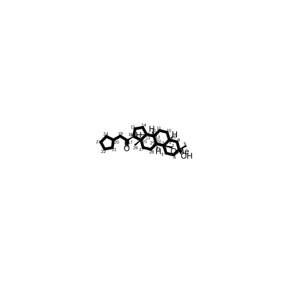 COC[C@]12CC[C@@](C)(O)C[C@@H]1CC[C@H]1[C@@H]3CC[C@H](C(=O)CC4CCCC4)[C@@]3(C)CC[C@@H]12